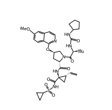 C=C[C@@H]1C[C@]1(NC(=O)[C@@H]1C[C@@H](Oc2nccc3cc(OC)ccc23)CN1C(=O)[C@@H](NC(=O)NC1CCCC1)C(C)(C)C)C(=O)NS(=O)(=O)C1CC1